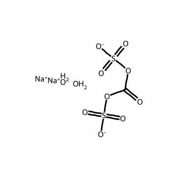 O.O.O=C(OS(=O)(=O)[O-])OS(=O)(=O)[O-].[Na+].[Na+]